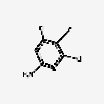 Nc1cc(Cl)c(Cl)c(Cl)n1